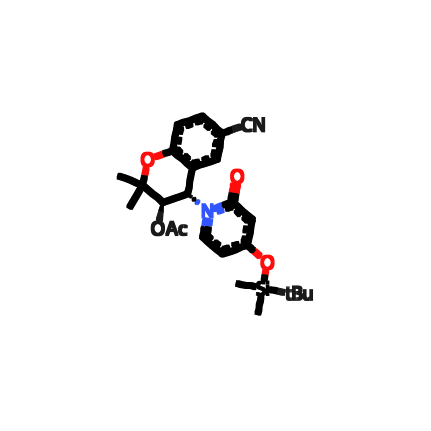 CC(=O)O[C@@H]1[C@@H](n2ccc(O[Si](C)(C)C(C)(C)C)cc2=O)c2cc(C#N)ccc2OC1(C)C